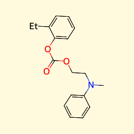 CCc1ccccc1OC(=O)OCCN(C)c1ccccc1